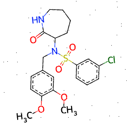 COc1ccc(CN(C2CCCCNC2=O)S(=O)(=O)c2cccc(Cl)c2)cc1OC